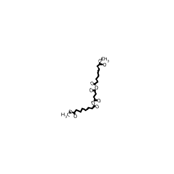 COC(=O)CCCCCCC(=O)OC(=O)CCC(=O)OC(=O)CCCCCCC(=O)OC